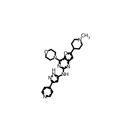 CN1CCC(c2cc3nc(Nc4cc(-c5ccncc5)n[nH]4)nc(N4CCOCC4)c3o2)CC1